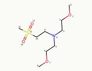 COCCN(CCOC)CCS(C)(=O)=O